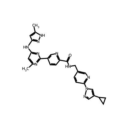 Cc1cc(Nc2cc(C)[nH]n2)nc(-c2ccc(C(=O)NCc3ccc(-n4cc(C5CC5)cn4)nc3)nc2)n1